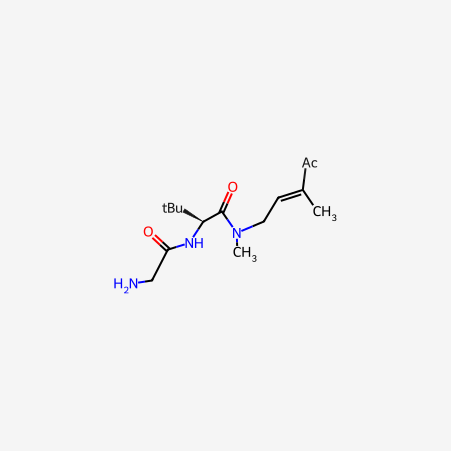 CC(=O)/C(C)=C/CN(C)C(=O)[C@@H](NC(=O)CN)C(C)(C)C